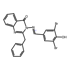 O=c1c2ccccc2nc(Cc2ccccc2)n1/N=C/c1cc(Br)c(O)c(Br)c1